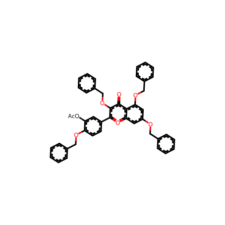 CC(=O)Oc1cc(-c2oc3cc(OCc4ccccc4)cc(OCc4ccccc4)c3c(=O)c2OCc2ccccc2)ccc1OCc1ccccc1